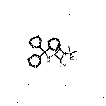 CC(C)(C)[Si](C)(C)N1C(=O)[C@@H](NC(c2ccccc2)(c2ccccc2)c2ccccc2)C1C#N